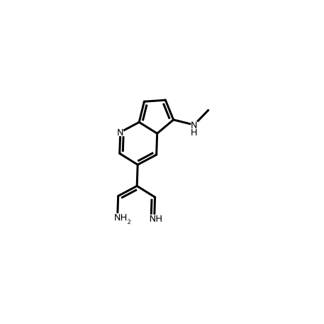 CNC1=CC=C2N=CC(/C(C=N)=C/N)=CC21